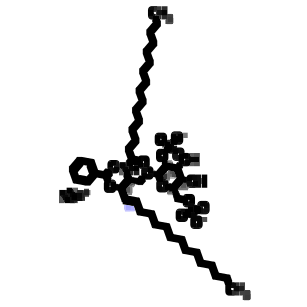 CCCCCCCCCCCCC/C=C/[C@@H](OC(=O)c1ccccc1)[C@H](CO[C@@H]1O[C@H](COS(=O)(=O)[O-])[C@H](O)[C@H](O)[C@H]1OS(=O)(=O)[O-])NC(=O)CCCCCCCCCCCCCCC.[Na+].[Na+]